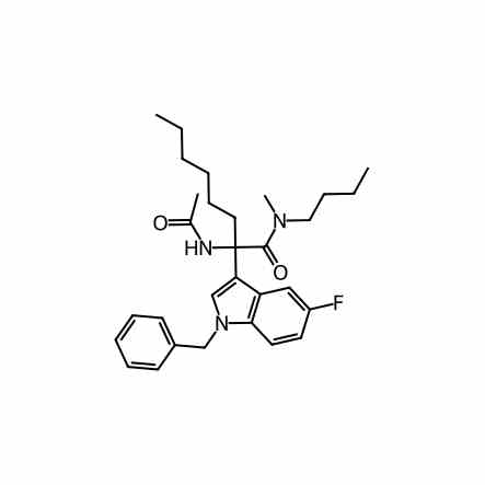 CCCCCCC(NC(C)=O)(C(=O)N(C)CCCC)c1cn(Cc2ccccc2)c2ccc(F)cc12